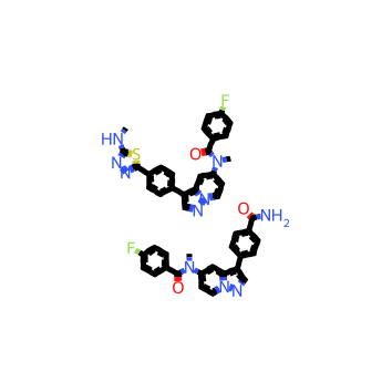 CN(C(=O)c1ccc(F)cc1)c1ccn2ncc(-c3ccc(C(N)=O)cc3)c2c1.CNc1nnc(-c2ccc(-c3cnn4ccc(N(C)C(=O)c5ccc(F)cc5)cc34)cc2)s1